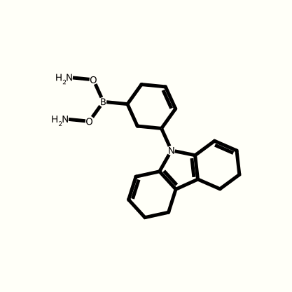 NOB(ON)C1CC=CC(n2c3c(c4c2C=CCC4)CCC=C3)C1